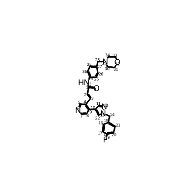 O=C(/C=C/c1cnccc1-c1cnn(Cc2ccc(F)cc2)c1)Nc1ccc(CN2CCOCC2)cc1